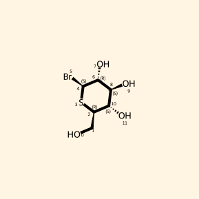 OC[C@H]1S[C@@H](Br)[C@H](O)[C@@H](O)[C@@H]1O